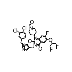 O=CN1CCC(n2c(=O)n(Cc3cnn(Cc4ccc(Cl)c(Cl)c4)c3)c(=O)c3cc(OC(CF)CF)c(F)cc32)CC1